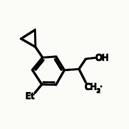 [CH2]C(CO)c1cc(CC)cc(C2CC2)c1